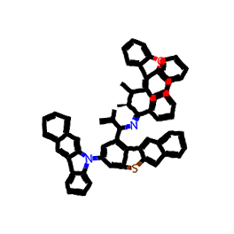 C=C(C)C(/N=C(/c1cccc(-c2ccccc2)c1)[C@@H](C)C(C)c1cccc2oc3ccccc3c12)c1cc(-n2c3ccccc3c3cc4ccccc4cc32)cc2sc3cc4ccccc4cc3c12